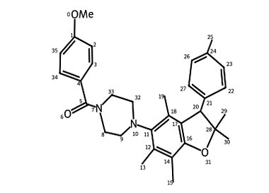 COc1ccc(C(=O)N2CCN(c3c(C)c(C)c4c(c3C)C(c3ccc(C)cc3)C(C)(C)O4)CC2)cc1